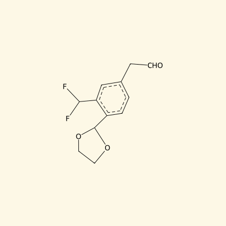 O=CCc1ccc(C2OCCO2)c(C(F)F)c1